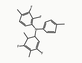 CC1=C(F)C(C)C(N(c2ccc(C)cc2)c2ccc(C)c(F)c2F)C=C1F